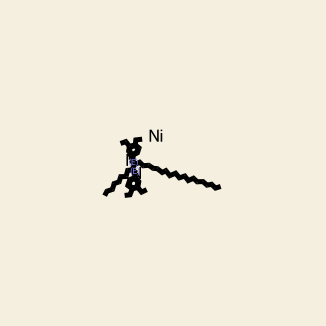 CCCCCCCCCCCCCCCCCCCC(=N\c1ccc(CC)c(CC)c1)/C(CCCCCCCC)=N/c1ccc(CC)c(CC)c1.[Ni]